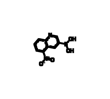 O=[N+]([O-])c1cccc2ncc(B(O)O)cc12